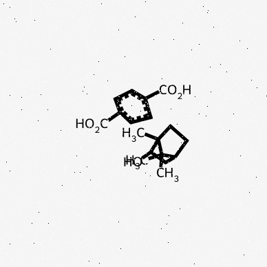 CC1(C)C2CCC1(C)C(O)C2.O=C(O)c1ccc(C(=O)O)cc1